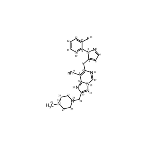 CCCc1c(Cc2ccnn2-c2ncccc2F)ncn2nc(CN3CCN(C)CC3)nc12